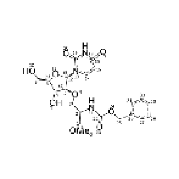 COCC(CO[C@H]1C(O)[C@@H](CO)O[C@H]1n1ccc(=O)[nH]c1=O)NC(=O)OCc1ccccc1